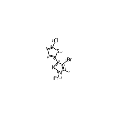 Cc1c(Br)c(-c2ccc(Cl)s2)nn1C(C)C